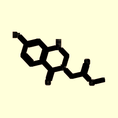 COC(=O)CN1CNc2cc(Br)ccc2C1=O